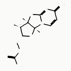 C=C1C=CN2C(=N1)O[C@@]1(C)[C@H](C)[C@@H](COC(=O)C(C)(C)C)O[C@@H]21